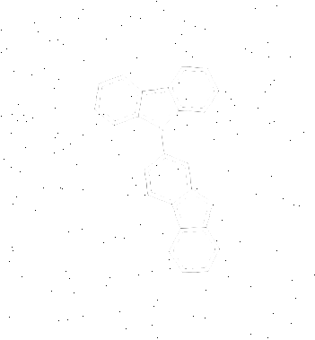 c1ccc2c(c1)sc1cc(-n3c4ccccc4c4ccccc43)ccc12